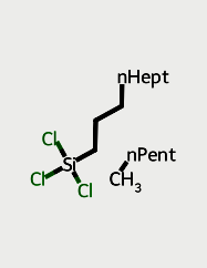 CCCCCC.CCCCCCCCCC[Si](Cl)(Cl)Cl